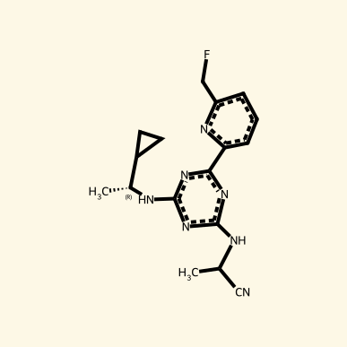 CC(C#N)Nc1nc(N[C@H](C)C2CC2)nc(-c2cccc(CF)n2)n1